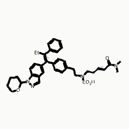 CC/C(=C(/c1ccc(CCN(CC/C=C/C(=O)N(C)C)C(=O)O)cc1)c1ccc2c(cnn2C2CCCCO2)c1)c1ccccc1